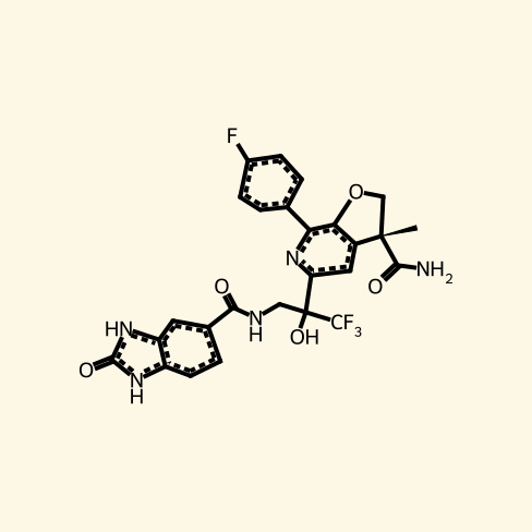 C[C@]1(C(N)=O)COc2c1cc(C(O)(CNC(=O)c1ccc3[nH]c(=O)[nH]c3c1)C(F)(F)F)nc2-c1ccc(F)cc1